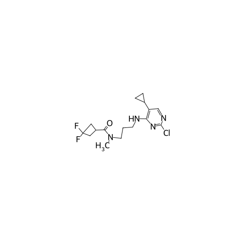 CN(CCCNc1nc(Cl)ncc1C1CC1)C(=O)C1CC(F)(F)C1